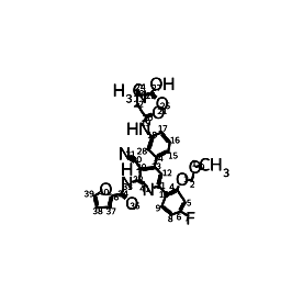 COCOc1cc(F)ccc1-c1cc(-c2cccc(NC(=O)CN(C)C(=O)O)c2)c(C#N)c(NC(=O)c2ccco2)n1